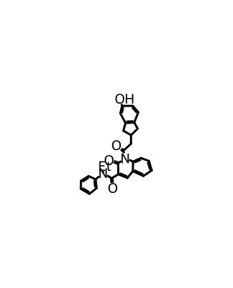 CCN(C(=O)c1cc2ccccc2n(C(=O)CC2Cc3ccc(O)cc3C2)c1=O)c1ccccc1